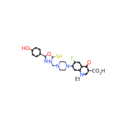 CCn1cc(C(=O)O)c(=O)c2cc(F)c(N3CCN(CN4N=C(c5ccc(O)cc5)OC4S)CC3)cc21